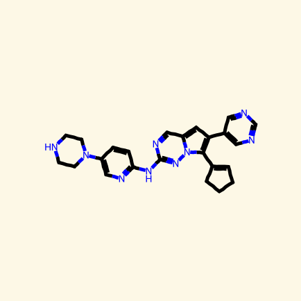 C1=C(c2c(-c3cncnc3)cc3cnc(Nc4ccc(N5CCNCC5)cn4)nn23)CCC1